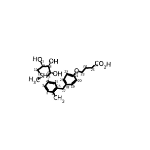 Cc1ccc([C@H]2[C@H](O)[C@H](O)[C@H](O)C[SH]2C)cc1Cc1ccc(OCCCC(=O)O)cc1